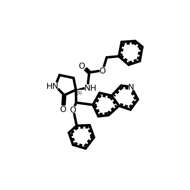 O=C(N[C@]1(C(Oc2ccccc2)c2ccc3ccncc3c2)CCNC1=O)OCc1ccccc1